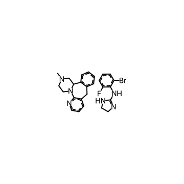 CN1CCN2c3ncccc3Cc3ccccc3C2C1.Fc1cccc(Br)c1NC1=NCCN1